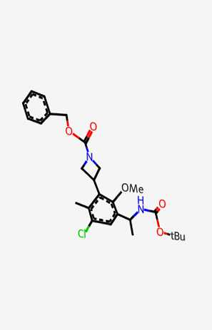 COc1c(C(C)NC(=O)OC(C)(C)C)cc(Cl)c(C)c1C1CN(C(=O)OCc2ccccc2)C1